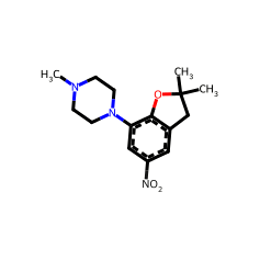 CN1CCN(c2cc([N+](=O)[O-])cc3c2OC(C)(C)C3)CC1